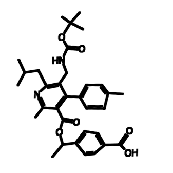 Cc1ccc(-c2c(CNC(=O)OC(C)(C)C)c(CC(C)C)nc(C)c2C(=O)OC(C)c2ccc(C(=O)O)cc2)cc1